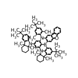 Cc1cc(C(C)(C)C)cc(C)c1N1c2cc3c(cc2B2c4cc(C(C)(C)C)cc5c4N(c4cc(N6c7ccc(C(C)(C)C)cc7C7(C)CCCCC67C)cc1c42)C1(C)CCCCC51C)oc1ccccc13